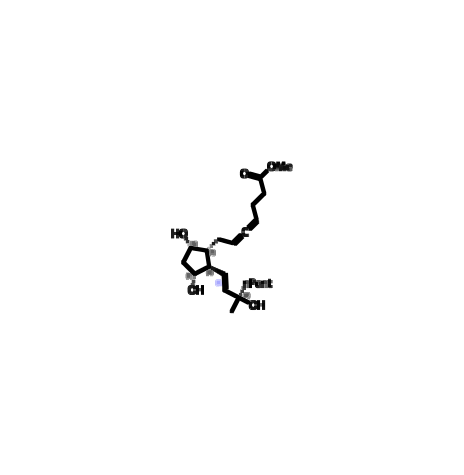 CCCCC[C@@](C)(O)/C=C/[C@@H]1[C@@H](CC=C=CCCC(=O)OC)[C@@H](O)C[C@H]1O